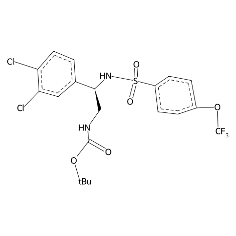 CC(C)(C)OC(=O)NC[C@H](NS(=O)(=O)c1ccc(OC(F)(F)F)cc1)c1ccc(Cl)c(Cl)c1